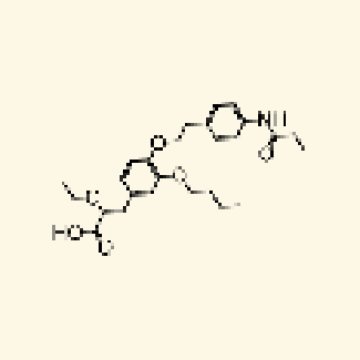 CCCCOc1cc(/C=C(\OCC)C(=O)O)ccc1OCCc1ccc(NC(=O)CC)cc1